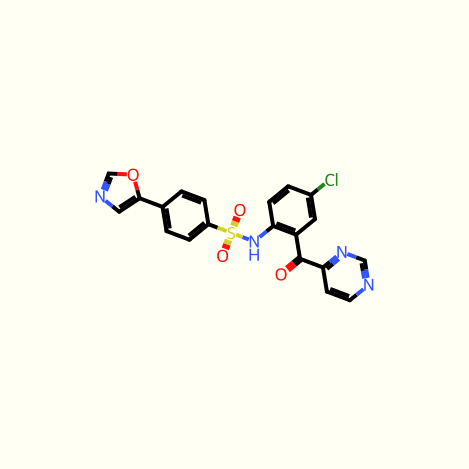 O=C(c1ccncn1)c1cc(Cl)ccc1NS(=O)(=O)c1ccc(-c2cnco2)cc1